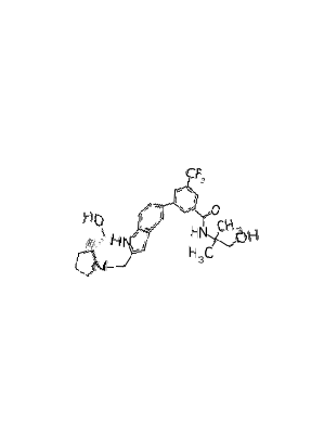 CC(C)(CO)NC(=O)c1cc(-c2ccc3[nH]c(CN4CCC[C@@H]4CO)cc3c2)cc(C(F)(F)F)c1